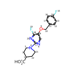 O=C(O)C1CCN(c2ncc(OCc3ccc(F)cc3)c(F)n2)CC1